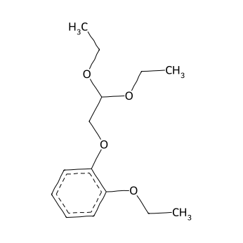 CCOc1ccccc1OCC(OCC)OCC